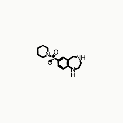 O=S(=O)(c1ccc2c(c1)CNCCN2)N1CCCCC1